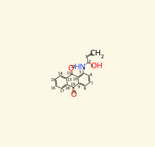 C=CC(O)Nc1cccc2c1C(=O)c1ccccc1C2=O